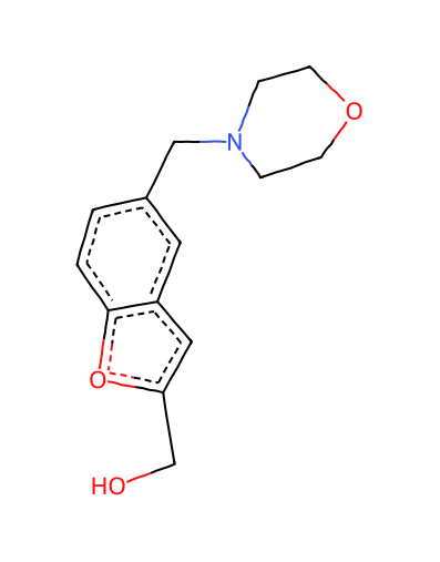 OCc1cc2cc(CN3CCOCC3)ccc2o1